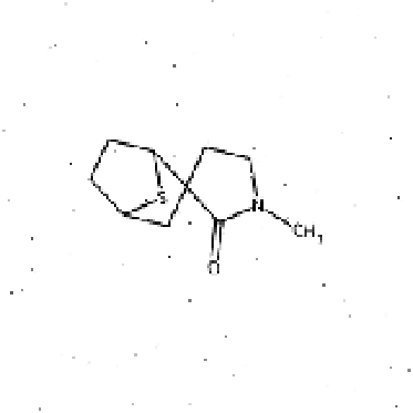 CN1CCC2(CC3CCC2S3)C1=O